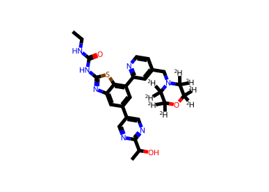 [2H]C1([2H])OC([2H])([2H])C([2H])([2H])N(Cc2ccnc(-c3cc(-c4cnc(C(C)O)nc4)cc4nc(NC(=O)NCC)sc34)c2)C1([2H])[2H]